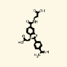 N=C(N)c1ccc(-c2nc3cc(C(=O)NCCC(=O)O)ccc3n2CC(=O)O)cc1